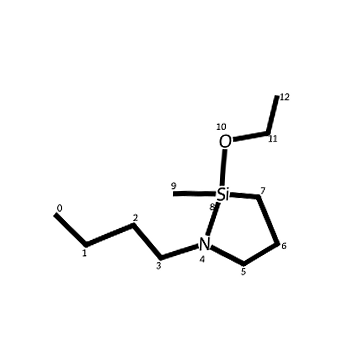 CCCCN1CCC[Si]1(C)OCC